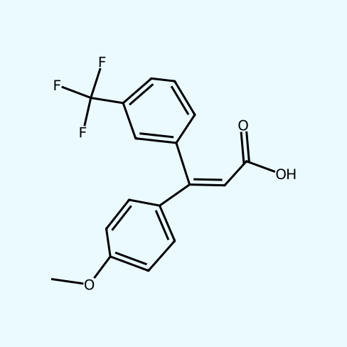 COc1ccc(C(=CC(=O)O)c2cccc(C(F)(F)F)c2)cc1